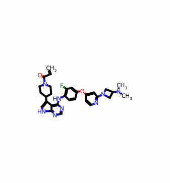 C=CC(=O)N1CCC(c2c[nH]c3ncnc(Nc4ccc(Oc5ccnc(N6CC(N(C)C)C6)c5)cc4F)c23)CC1